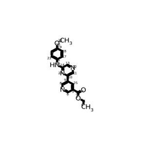 CCOC(=O)c1cncc(-c2cncc(Nc3ccc(OC)cc3)n2)c1